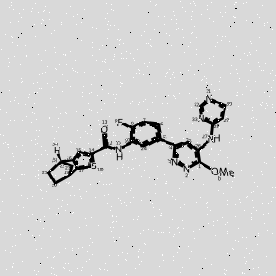 COc1nnc(-c2ccc(F)c(NC(=O)c3cc4c(s3)C3CC[C@H]4C3)c2)cc1Nc1ccncn1